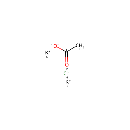 CC(=O)[O-].[Cl-].[K+].[K+]